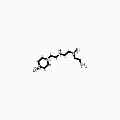 CCN(CCN)CCNCCN1CCN(CC)CC1